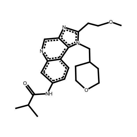 COCCc1nc2cnc3cc(NC(=O)C(C)C)ccc3c2n1CC1CCOCC1